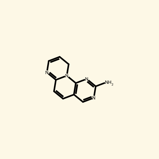 Nc1ncc2c(n1)N1CC=CN=C1C=C2